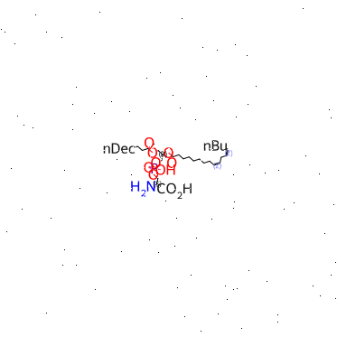 CCCC/C=C\C/C=C\CCCCCCCC(=O)O[C@H](COC(=O)CCCCCCCCCCCC)COP(=O)(O)OC[C@H](N)C(=O)O